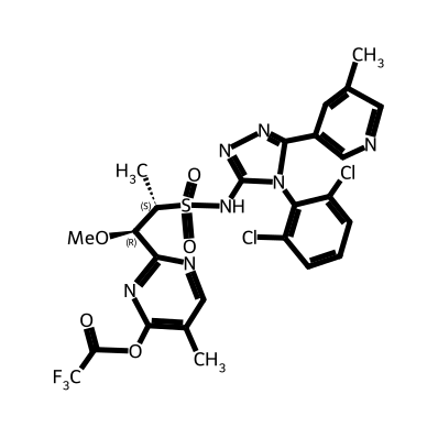 CO[C@H](c1ncc(C)c(OC(=O)C(F)(F)F)n1)[C@H](C)S(=O)(=O)Nc1nnc(-c2cncc(C)c2)n1-c1c(Cl)cccc1Cl